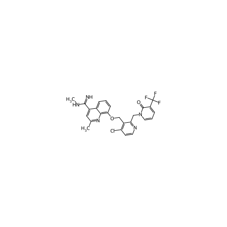 CNC(=N)c1cc(C)nc2c(OCc3c(Cl)ccnc3Cn3cccc(C(F)(F)F)c3=O)cccc12